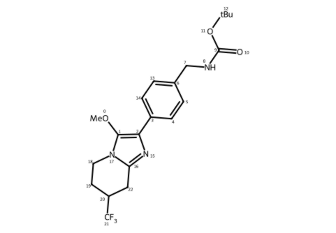 COc1c(-c2ccc(CNC(=O)OC(C)(C)C)cc2)nc2n1CCC(C(F)(F)F)C2